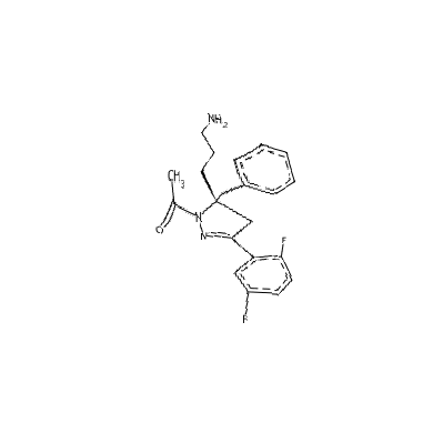 CC(=O)N1N=C(c2cc(F)ccc2F)C[C@@]1(CCCN)c1ccccc1